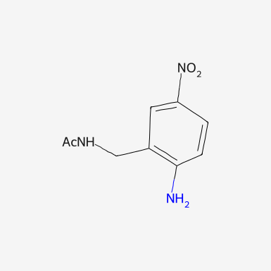 CC(=O)NCc1cc([N+](=O)[O-])ccc1N